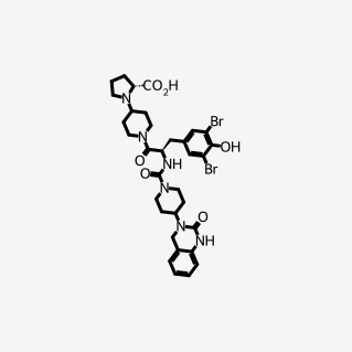 O=C(O)[C@H]1CCCN1C1CCN(C(=O)[C@@H](Cc2cc(Br)c(O)c(Br)c2)NC(=O)N2CCC(N3Cc4ccccc4NC3=O)CC2)CC1